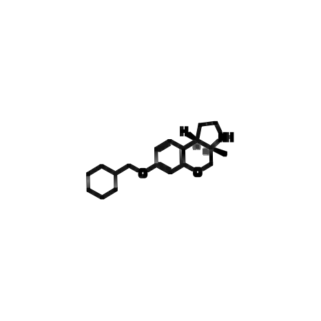 C[C@@]12COc3cc(OCC4CCCCC4)ccc3[C@@H]1CCN2